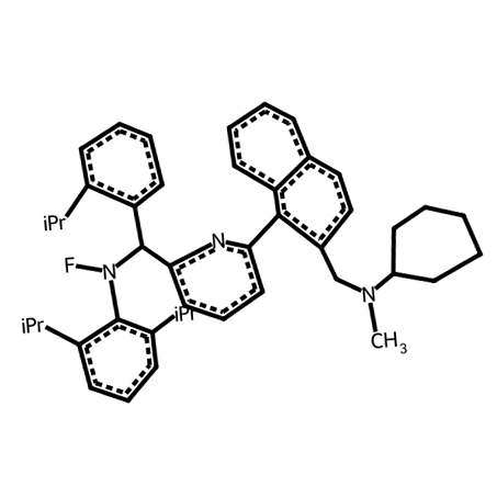 CC(C)c1ccccc1C(c1cccc(-c2c(CN(C)C3CCCCC3)ccc3ccccc23)n1)N(F)c1c(C(C)C)cccc1C(C)C